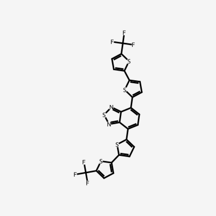 FC(F)(F)c1ccc(-c2ccc(-c3ccc(-c4ccc(-c5ccc(C(F)(F)F)s5)s4)c4nsnc34)s2)s1